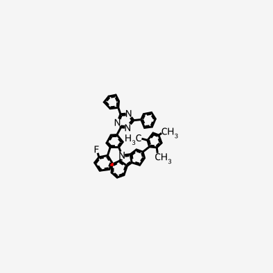 Cc1cc(C)c(-c2ccc3c4ccccc4n(-c4cc(-c5nc(-c6ccccc6)nc(-c6ccccc6)n5)ccc4-c4ccccc4F)c3c2)c(C)c1